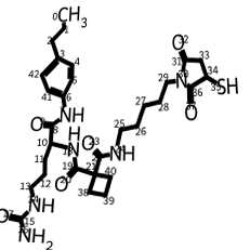 CCCc1ccc(NC(=O)C(CCCNC(N)=O)NC(=O)C2(C(=O)NCCCCCN3C(=O)CC(S)C3=O)CCC2)cc1